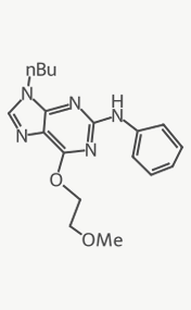 CCCCn1cnc2c(OCCOC)nc(Nc3ccccc3)nc21